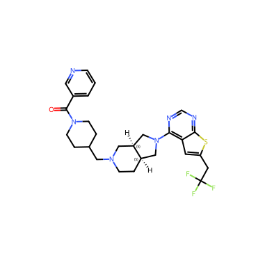 O=C(c1cccnc1)N1CCC(CN2CC[C@@H]3CN(c4ncnc5sc(CC(F)(F)F)cc45)C[C@@H]3C2)CC1